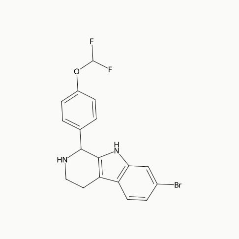 FC(F)Oc1ccc(C2NCCc3c2[nH]c2cc(Br)ccc32)cc1